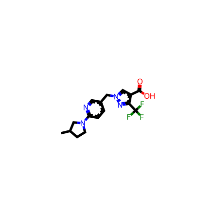 CC1CCN(c2ccc(Cn3cc(C(=O)O)c(C(F)(F)F)n3)cn2)C1